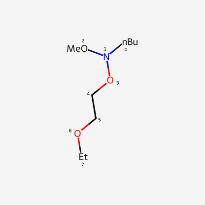 CCCCN(OC)OCCOCC